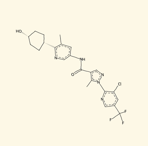 Cc1cc(NC(=O)c2cnn(-c3ncc(C(F)(F)F)cc3Cl)c2C)cnc1[C@H]1CC[C@@H](O)CC1